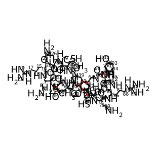 C[C@@H](O)[C@H](NC(=O)[C@H](CCN)NC(=O)[C@H](CCCNC(=N)N)NC(=O)[C@H](CC(N)=O)NC(=O)[C@@H](NC(=O)[C@@H](N)Cc1ccc(O)cc1)C(C)(C)S)C(=O)N[C@H](CCN)C(=O)N[C@@H](CCCNC(N)=O)C(=O)N[C@@H](CS)C(=O)N[C@@H](CCN)C(=O)N[C@@H](CCCNC(=N)N)C(=O)N[C@@H](Cc1ccc(O)cc1)C(=O)O